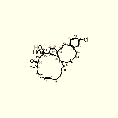 CN1CC/C=C/CCCCN2CCCCc3cc(Cl)ccc3COc3ccc(cc32)[C@@](O)(CO)CC1=O